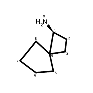 N[C@H]1CCC12CCCC2